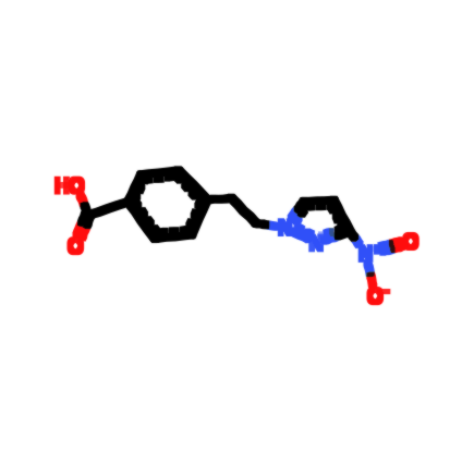 O=C(O)c1ccc(CCn2ccc([N+](=O)[O-])n2)cc1